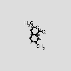 Cc1ccc2cc(C)oc(=O)c2c1